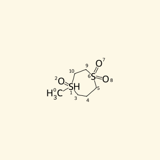 C[SH]1(=O)CCCS(=O)(=O)CC1